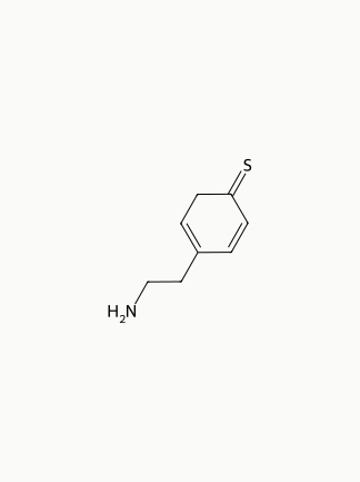 NCCC1=CCC(=S)C=C1